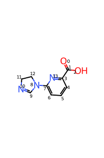 O=C(O)c1cccc(N2C=NCC2)n1